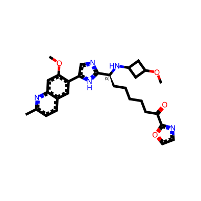 COc1cc2nc(C)ccc2cc1-c1cnc([C@H](CCCCCC(=O)c2ncco2)NC2CC(OC)C2)[nH]1